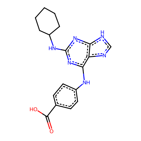 O=C(O)c1ccc(Nc2nc(NC3CCCCC3)nc3[nH]cnc23)cc1